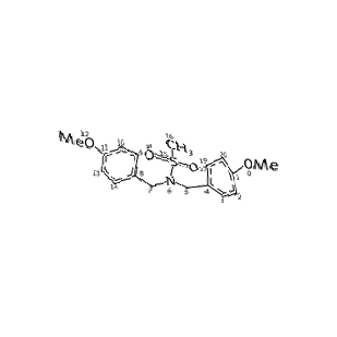 COc1ccc(CN(Cc2ccc(OC)cc2)S(C)(=O)=O)cc1